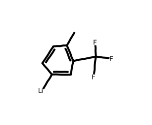 [Li][c]1ccc(C)c(C(F)(F)F)c1